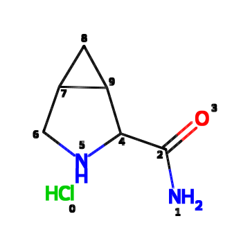 Cl.NC(=O)C1NCC2CC21